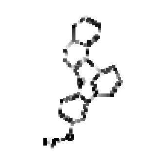 COc1ccc2c(c1)c1cccc3c4c5ccccc5ccc4n2c13